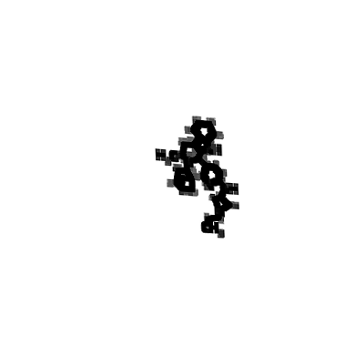 CCCN1CC(Nc2ccc([C@@H]3c4[nH]c5ccccc5c4C[C@@H](C)N3C3CCC4CC3C4)cn2)C1